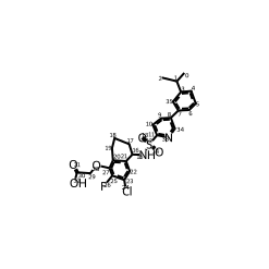 CC(C)c1cccc(-c2ccc(S(=O)(=O)NC3CCCc4c3cc(Cl)c(F)c4OCC(=O)O)nc2)c1